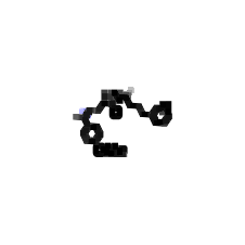 COc1ccc(/C(C)=C\CCC(=O)N[C@H](C)CCCc2cccnc2)cc1